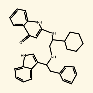 O=c1cc(NC(CNC(Cc2ccccc2)c2c[nH]c3ccccc23)C2CCCCC2)[nH]c2ccccc12